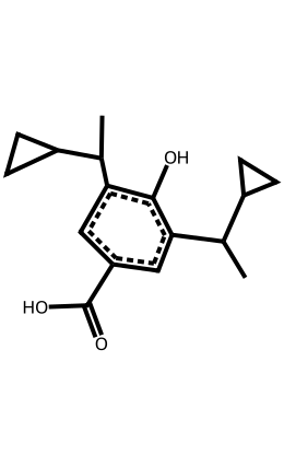 CC(c1cc(C(=O)O)cc(C(C)C2CC2)c1O)C1CC1